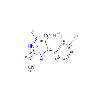 CC1=C(C(=O)O)C(c2cccc(Cl)c2Cl)N/C(=N\C#N)N1